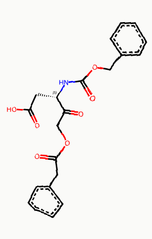 O=C(O)C[C@H](NC(=O)OCc1ccccc1)C(=O)COC(=O)Cc1ccccc1